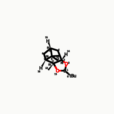 CC(C)(C)B1O[C@@H]2C[C@@H]3C[C@@H](C3(C)C)[C@]2(C)O1